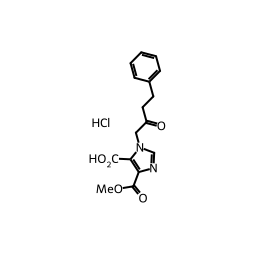 COC(=O)c1ncn(CC(=O)CCc2ccccc2)c1C(=O)O.Cl